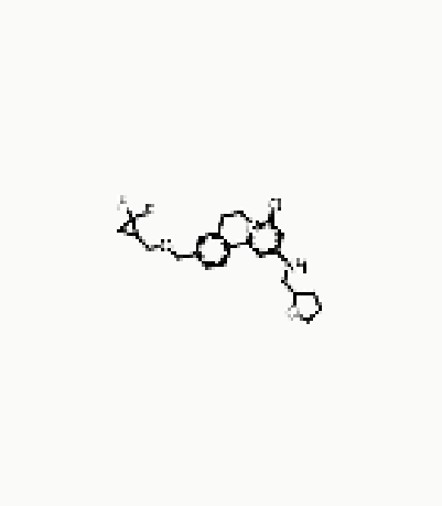 O=c1cc(NCC2CCCO2)cc2n1CCc1cc(COCC3CC3(F)F)ccc1-2